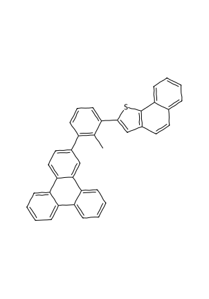 Cc1c(-c2ccc3c4ccccc4c4ccccc4c3c2)cccc1-c1cc2ccc3ccccc3c2s1